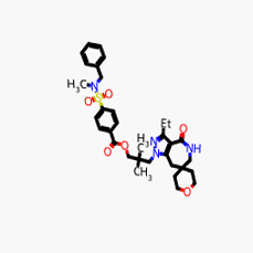 CCc1nn(CC(C)(C)COC(=O)c2ccc(S(=O)(=O)N(C)Cc3ccccc3)cc2)c2c1C(=O)NCC1(CCOCC1)C2